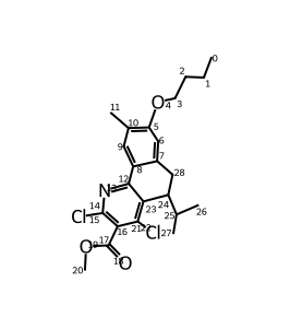 CCCCOc1cc2c(cc1C)-c1nc(Cl)c(C(=O)OC)c(Cl)c1C(C(C)C)C2